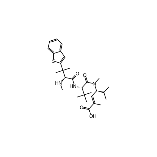 CN[C@H](C(=O)N[C@H](C(=O)N(C)[C@H](/C=C(\C)C(=O)O)C(C)C)C(C)(C)C)C(C)(C)c1cc2ccccc2s1